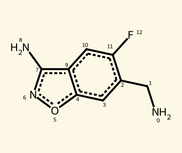 NCc1cc2onc(N)c2cc1F